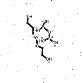 OCCOOOCCO.OP(O)OP(O)O